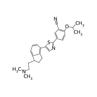 CC(C)Oc1ccc(-c2ncc(-c3cccc4c3CCC4CCN(C)C)s2)cc1C#N